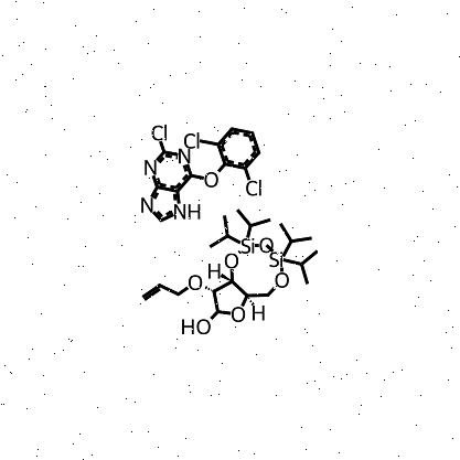 C=CCO[C@H]1C(O)O[C@@H]2CO[Si](C(C)C)(C(C)C)O[Si](C(C)C)(C(C)C)O[C@H]21.Clc1nc(Oc2c(Cl)cccc2Cl)c2[nH]cnc2n1